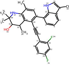 Cc1cc(-c2cccc3c(C)c[nH]c23)c(C#Cc2ccc(F)cc2F)c2c1NC(C)(C)C(O)C2C